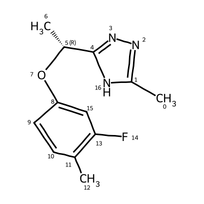 Cc1nnc([C@@H](C)Oc2ccc(C)c(F)c2)[nH]1